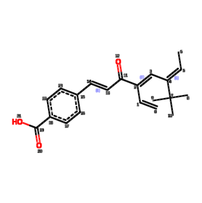 C=C/C(=C\C(=C/C)C(C)(C)C)C(=O)/C=C/c1ccc(C(=O)O)cc1